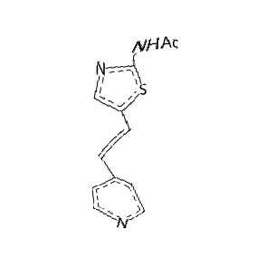 CC(=O)Nc1ncc(C=Cc2ccncc2)s1